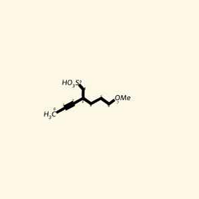 CC#CC(CCCOC)CS(=O)(=O)O